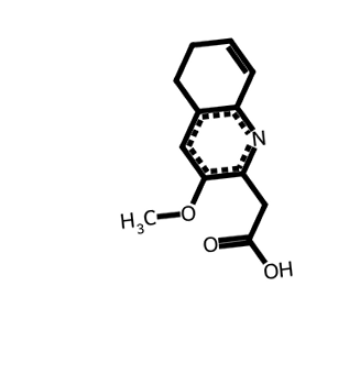 COc1cc2c(nc1CC(=O)O)C=CCC2